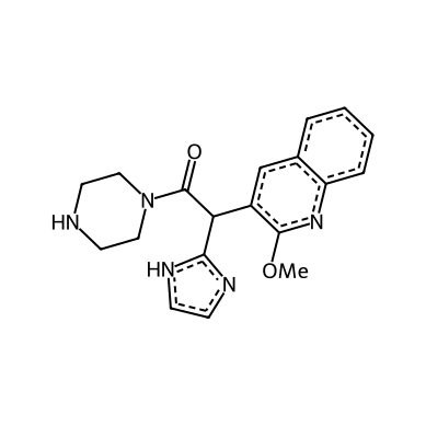 COc1nc2ccccc2cc1C(C(=O)N1CCNCC1)c1ncc[nH]1